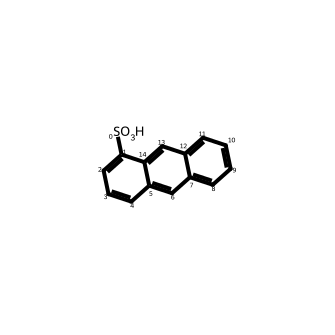 O=S(=O)(O)c1cccc2cc3ccccc3cc12